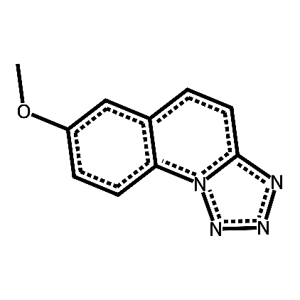 COc1ccc2c(ccc3nnnn32)c1